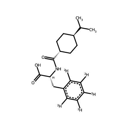 [2H]c1c([2H])c([2H])c(C[C@@H](NC(=O)[C@H]2CC[C@H](C(C)C)CC2)C(=O)O)c([2H])c1[2H]